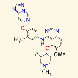 COc1ccc2ncnc(Nc3ccc(Oc4cc5ncnn5cn4)c(C)c3)c2c1OC1CCN(C)CC1F